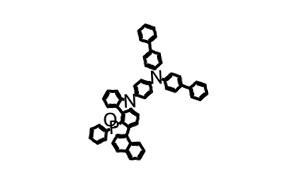 O=P1(c2ccccc2)c2ccc3ccccc3c2-c2ccc3c(c21)c1ccccc1n3-c1ccc(N(c2ccc(-c3ccccc3)cc2)c2ccc(-c3ccccc3)cc2)cc1